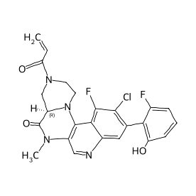 C=CC(=O)N1CCN2c3c(cnc4cc(-c5c(O)cccc5F)c(Cl)c(F)c34)N(C)C(=O)[C@H]2C1